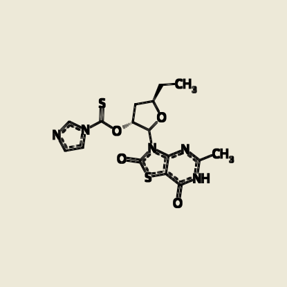 CC[C@@H]1C[C@@H](OC(=S)n2ccnc2)C(n2c(=O)sc3c(=O)[nH]c(C)nc32)O1